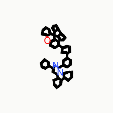 c1ccc(-c2cc(-c3ccccc3-c3ccccc3)nc(-c3cccc(-c4cccc(-c5ccc6c(c5)C5(c7ccccc7O6)c6ccccc6-c6ccccc65)c4)c3)n2)cc1